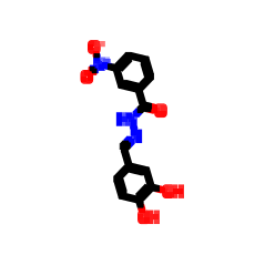 O=C(NN=Cc1ccc(O)c(O)c1)c1cccc([N+](=O)[O-])c1